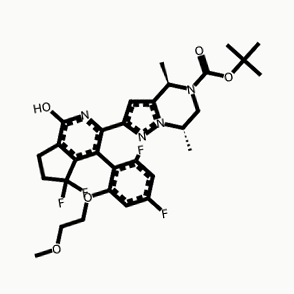 COCCOc1cc(F)cc(F)c1-c1c(-c2cc3n(n2)[C@@H](C)CN(C(=O)OC(C)(C)C)[C@@H]3C)nc(O)c2c1C(F)(F)CC2